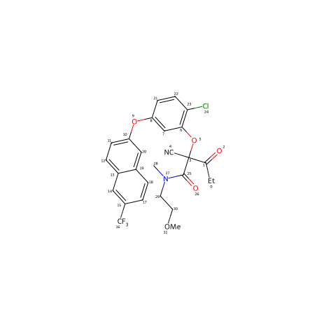 CCC(=O)C(C#N)(Oc1cc(Oc2ccc3cc(C(F)(F)F)ccc3c2)ccc1Cl)C(=O)N(C)CCOC